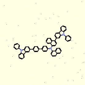 c1ccc(-n2c3ccccc3c3cc(-c4ccc(-c5ccc(N(c6cccc7ccccc67)c6ccc(-c7ccc8c9ccccc9n(-c9ccccc9)c8c7)c7ccccc67)cc5)cc4)ccc32)cc1